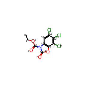 CCOC(=O)n1c(=O)oc2c(Cl)c(Cl)c(Cl)cc21